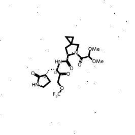 COC(OC)C(=O)N1CC2(CC2)CC1C(=O)N[C@@H](C[C@@H]1CCNC1=O)C(=O)COC(F)(F)F